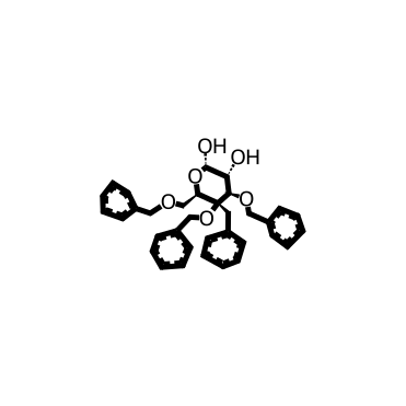 O[C@@H]1[C@@H](OCc2ccccc2)[C@](Cc2ccccc2)(OCc2ccccc2)[C@@H](COCc2ccccc2)O[C@@H]1O